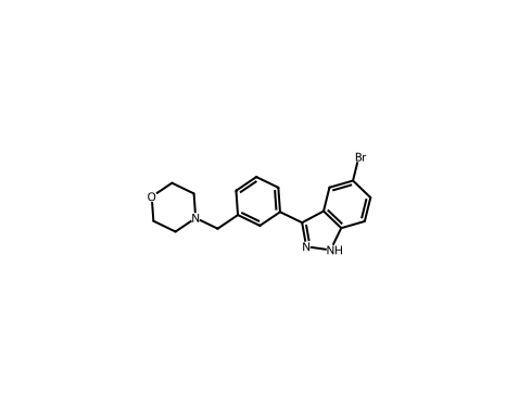 Brc1ccc2[nH]nc(-c3cccc(CN4CCOCC4)c3)c2c1